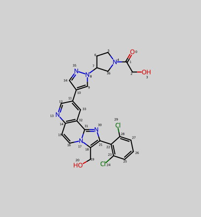 O=C(CO)N1CCC(n2cc(-c3cnc4ccn5c(CO)c(-c6c(Cl)cccc6Cl)nc5c4c3)cn2)C1